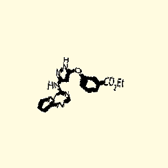 CCOC(=O)c1cccc(Oc2cc(Nc3ncnc4cccn34)n[nH]2)c1